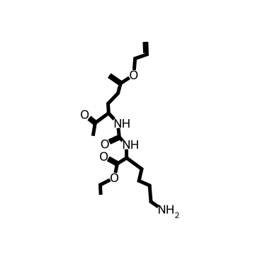 C=CCOC(=C)CCC(NC(=O)NC(CCCCN)C(=O)OCC)C(C)=O